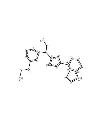 N#CCOc1cccc(C(CC#N)n2cc(-c3ncnc4[nH]ccc34)cn2)c1